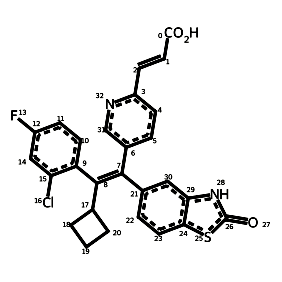 O=C(O)C=Cc1ccc(C(=C(c2ccc(F)cc2Cl)C2CCC2)c2ccc3sc(=O)[nH]c3c2)cn1